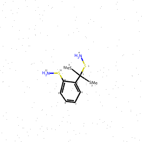 CSC(SC)(SN)c1ccccc1SN